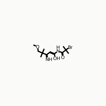 COCC(C)(C)C(=N)/C=C(\O)NC(=O)C(C)(C)Br